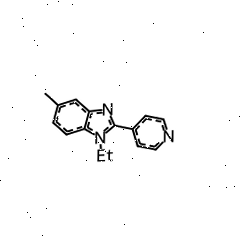 CCn1c(-c2ccncc2)nc2cc(C)ccc21